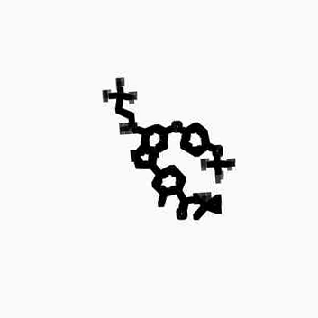 Cc1cc(-c2cnc3c(NCCC(F)(F)F)cc(Oc4ccc(OC(F)(F)F)cc4)cn23)ccc1C(=O)NC1(C)CC1